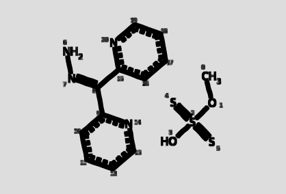 COS(O)(=S)=S.NN=C(c1ccccn1)c1ccccn1